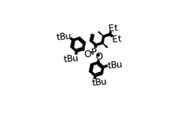 C=CC([C@H](C)[C@@H](C)C(CC)CC)P(Oc1ccc(C(C)(C)C)cc1C(C)(C)C)Oc1ccc(C(C)(C)C)cc1C(C)(C)C